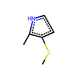 CSc1cc[nH]c1C